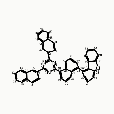 C1=CC(c2nc(-c3ccc4ccccc4c3)nc(-c3cccc4c(-c5cccc6oc7ccccc7c56)cccc34)n2)Cc2ccccc21